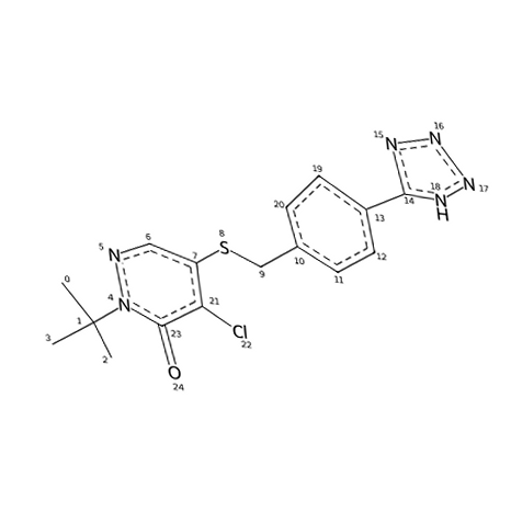 CC(C)(C)n1ncc(SCc2ccc(-c3nnn[nH]3)cc2)c(Cl)c1=O